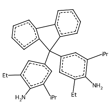 CCc1cc(C2(c3cc(CC)c(N)c(C(C)C)c3)c3ccccc3-c3ccccc32)cc(C(C)C)c1N